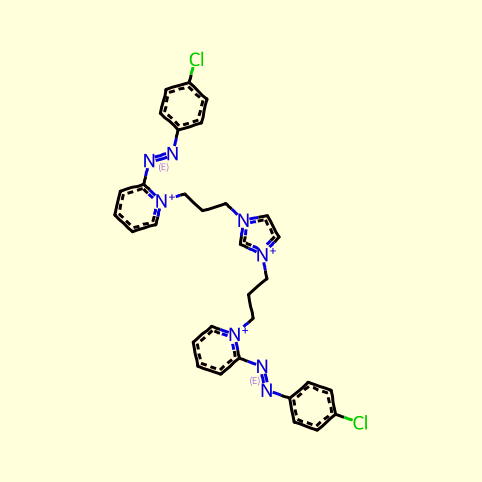 Clc1ccc(/N=N/c2cccc[n+]2CCCn2cc[n+](CCC[n+]3ccccc3/N=N/c3ccc(Cl)cc3)c2)cc1